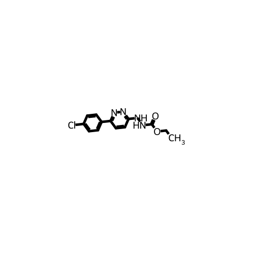 CCOC(=O)NNc1ccc(-c2ccc(Cl)cc2)nn1